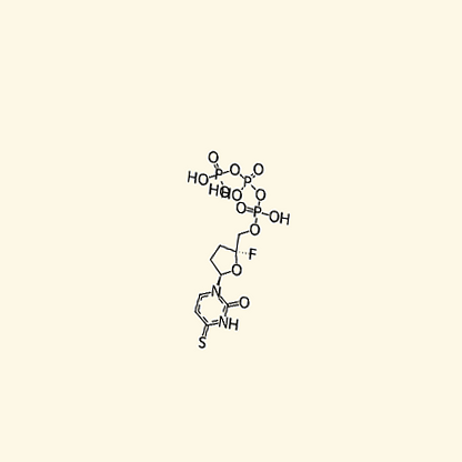 O=c1[nH]c(=S)ccn1[C@H]1CC[C@@](F)(COP(=O)(O)OP(=O)(O)OP(=O)(O)O)O1